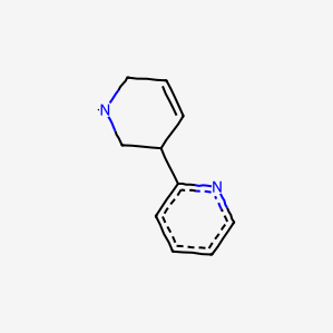 C1=CC(c2ccccn2)C[N]C1